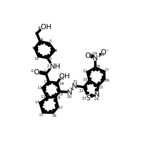 O=C(Nc1ccc(CO)cc1)c1cc2ccccc2c(/N=N/c2snc3ccc([N+](=O)[O-])cc23)c1O